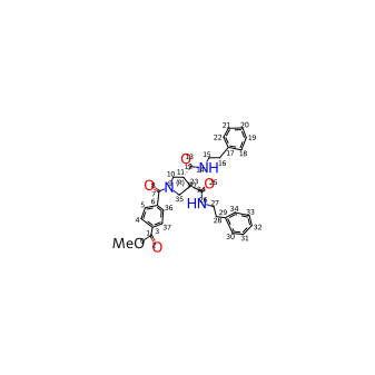 COC(=O)c1ccc(C(=O)N2C[C@H](C(=O)NCCc3ccccc3)[C@@H](C(=O)NCCc3ccccc3)C2)cc1